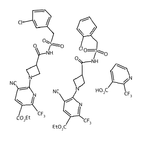 CCOC(=O)c1cc(C#N)c(N2CC(C(=O)NS(=O)(=O)Cc3cccc(Cl)c3)C2)nc1C(F)(F)F.CCOC(=O)c1cc(C#N)c(N2CC(C(=O)NS(=O)(=O)Cc3ccccc3Cl)C2)nc1C(F)(F)F.O=C(O)c1cccnc1C(F)(F)F